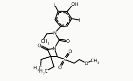 CCN(C(=O)N1C(=O)C(CC)(CC)C1S(=O)(=O)CCOC)c1cc(I)c(O)c(I)c1